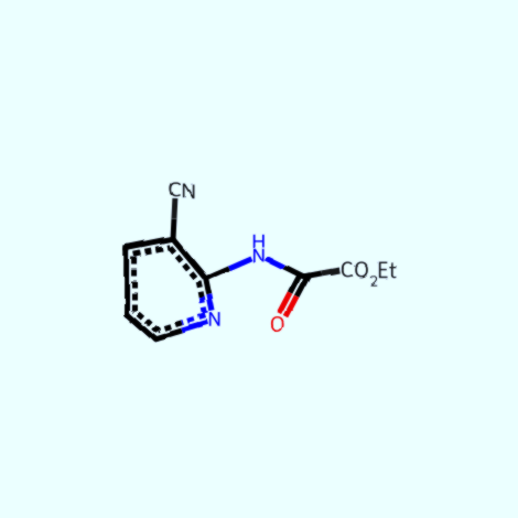 CCOC(=O)C(=O)Nc1ncccc1C#N